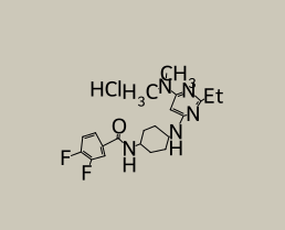 CCc1nc(NC2CCC(NC(=O)c3ccc(F)c(F)c3)CC2)cc(N(C)C)n1.Cl